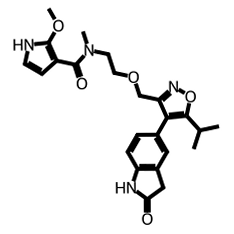 COc1[nH]ccc1C(=O)N(C)CCOCc1noc(C(C)C)c1-c1ccc2c(c1)CC(=O)N2